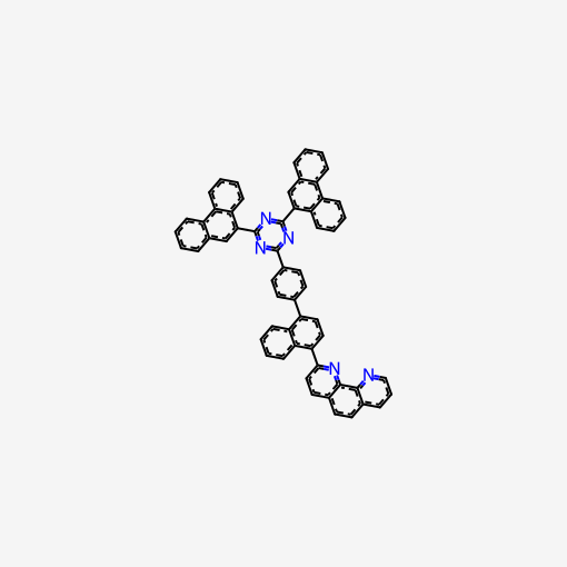 c1ccc2c(c1)cc(-c1nc(-c3ccc(-c4ccc(-c5ccc6ccc7cccnc7c6n5)c5ccccc45)cc3)nc(-c3cc4ccccc4c4ccccc34)n1)c1ccccc12